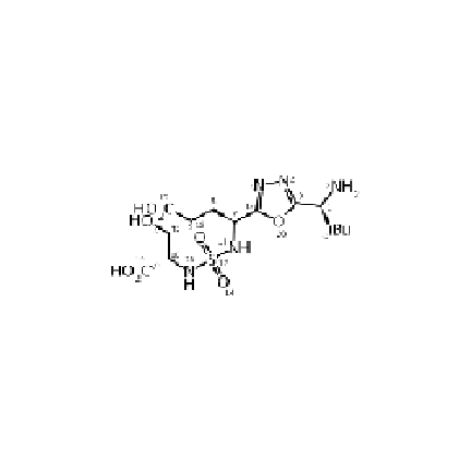 CCC(C)[C@H](N)c1nnc([C@H](CCC(=O)O)NS(=O)(=O)N[C@@H](CO)C(=O)O)o1